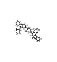 c1ccc(-n2c3ccccc3c3ccc(-c4ccc(-c5cc6[nH]c7ccccc7c6c6ccccc56)cc4)cc32)cc1